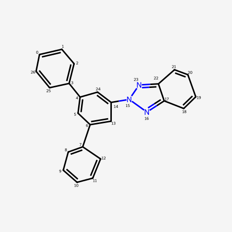 c1ccc(-c2cc(-c3ccccc3)cc(-n3nc4ccccc4n3)c2)cc1